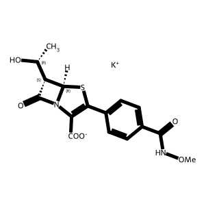 CONC(=O)c1ccc(C2=C(C(=O)[O-])N3C(=O)[C@H]([C@@H](C)O)[C@H]3S2)cc1.[K+]